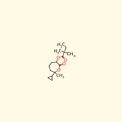 CCC(C)(C)C(=O)OC1CCCC(C)(C2CC2)OC1=O